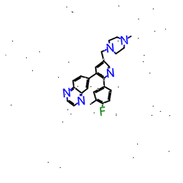 Cc1cc(-c2ncc(CN3CCN(C)CC3)cc2-c2ccc3nccnc3c2)ccc1F